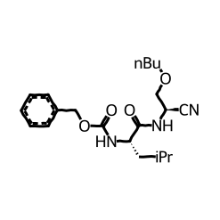 CCCCOC[C@@H](C#N)NC(=O)[C@H](CC(C)C)NC(=O)OCc1ccccc1